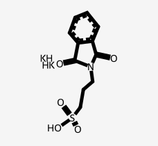 O=C1c2ccccc2C(=O)N1CCCS(=O)(=O)O.[KH].[KH]